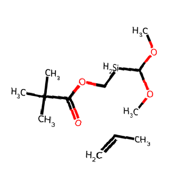 C=CC.COC(OC)[SiH2]COC(=O)C(C)(C)C